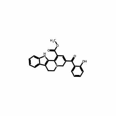 COC(=O)C1=C2c3[nH]c4ccccc4c3CCN2CC(C(=O)c2ccccc2O)=C1